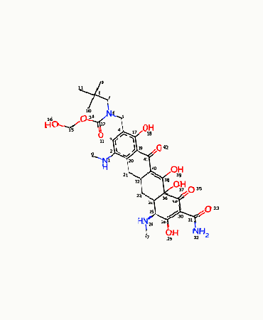 CNc1cc(CN(CC(C)(C)C)C(=O)OCO)c(O)c2c1CC1CC3[C@H](NC)C(O)=C(C(N)=O)C(=O)C3(O)C(O)=C1C2=O